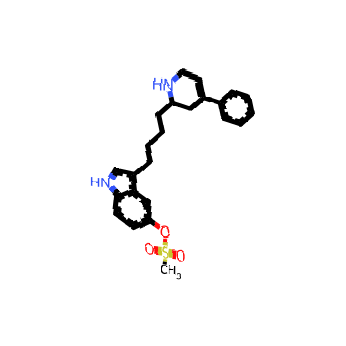 CS(=O)(=O)Oc1ccc2[nH]cc(CCCCC3CC(c4ccccc4)=CCN3)c2c1